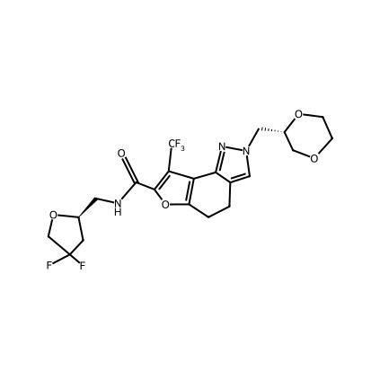 O=C(NC[C@H]1CC(F)(F)CO1)c1oc2c(c1C(F)(F)F)-c1nn(C[C@H]3COCCO3)cc1CC2